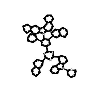 c1ccc(-c2cc(-c3nc(-c4ccc5ccccc5c4)nc(-c4cccc5c4c4ccccc4n5-c4ccccc4)n3)cc(-c3ccc4ccccc4c3)c2-n2c3cc4ccccc4cc3c3c4ccccc4ccc32)cc1